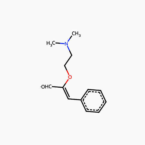 CN(C)CCOC([C]=O)=Cc1ccccc1